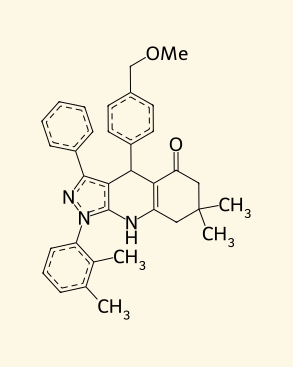 COCc1ccc(C2C3=C(CC(C)(C)CC3=O)Nc3c2c(-c2ccccc2)nn3-c2cccc(C)c2C)cc1